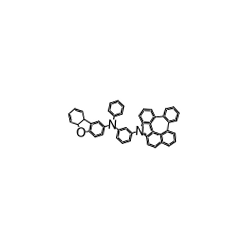 C1=CC2Oc3ccc(N(c4ccccc4)c4cccc(-n5c6cccc7c6c6c8c(cccc8ccc65)-c5ccccc5-7)c4)cc3C2C=C1